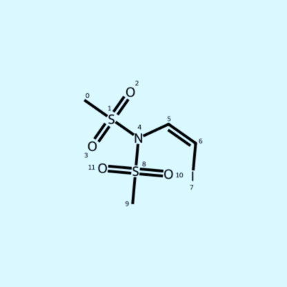 CS(=O)(=O)N(/C=C\I)S(C)(=O)=O